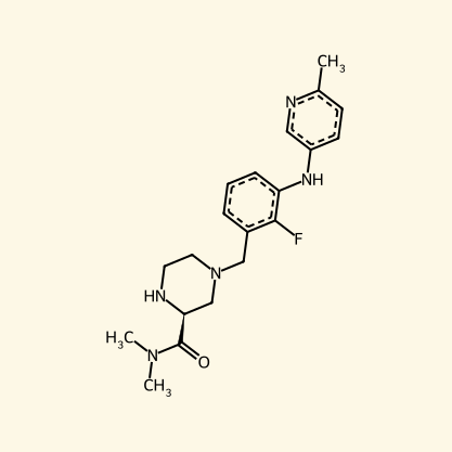 Cc1ccc(Nc2cccc(CN3CCN[C@H](C(=O)N(C)C)C3)c2F)cn1